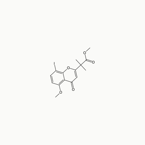 COC(=O)C(C)(C)c1cc(=O)c2c(OC)ccc(I)c2o1